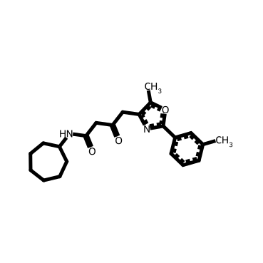 Cc1cccc(-c2nc(CC(=O)CC(=O)NC3CCCCCC3)c(C)o2)c1